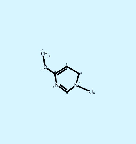 COC1=CCN(Cl)C=N1